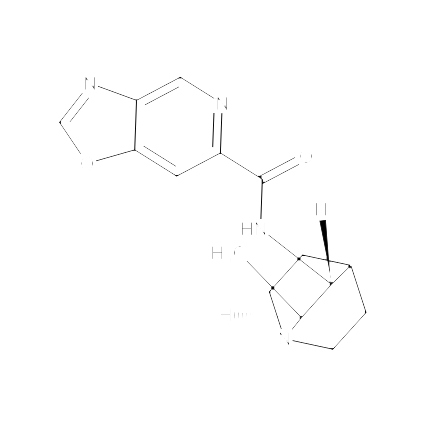 C[C@H]1[C@H](NC(=O)c2cc3ocnc3cn2)C2CCN1CC2